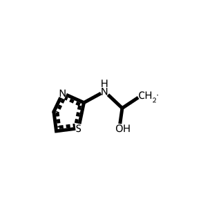 [CH2]C(O)Nc1nccs1